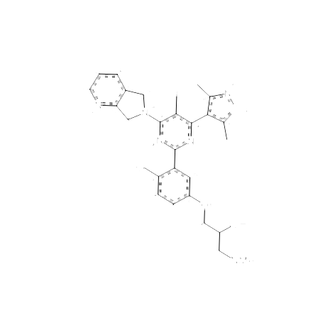 CNCC(O)COc1ccc(Cl)c(-c2nc(-c3c(C)noc3C)c(C)c(N3Cc4cccnc4C3)n2)c1